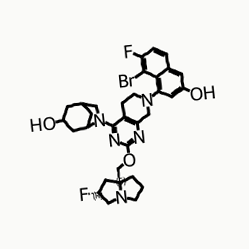 Oc1cc(N2CCc3c(nc(OC[C@@]45CCCN4C[C@H](F)C5)nc3N3CC4CC(O)CC3C4)C2)c2c(Br)c(F)ccc2c1